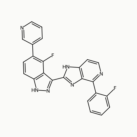 Fc1ccccc1-c1nccc2[nH]c(-c3n[nH]c4ccc(-c5cccnc5)c(F)c34)nc12